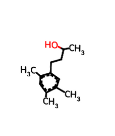 Cc1cc(C)c(CCC(C)O)cc1C